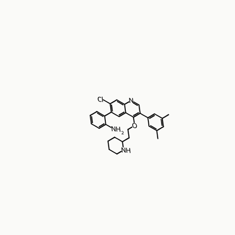 Cc1cc(C)cc(-c2cnc3cc(Cl)c(-c4ccccc4N)cc3c2OCCC2CCCCN2)c1